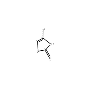 CC1=CCC(=O)S1